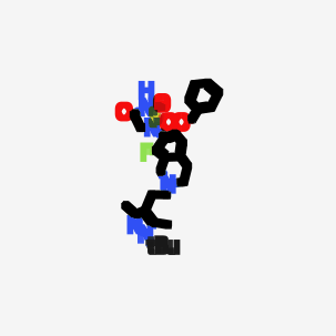 Cc1nn(C(C)(C)C)c(C)c1CCN1CCc2cc(OCc3ccccc3)c(N3CC(=O)NS3(=O)=O)c(F)c2C1